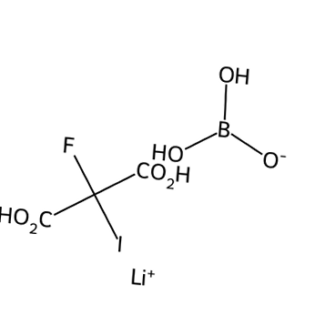 O=C(O)C(F)(I)C(=O)O.[Li+].[O-]B(O)O